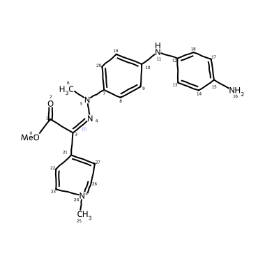 COC(=O)/C(=N\N(C)c1ccc(Nc2ccc(N)cc2)cc1)c1cc[n+](C)cc1